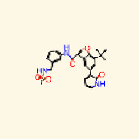 CC(C)(C)c1cc(-c2ccc[nH]c2=O)cc2c(C(=O)Nc3cccc(CNS(C)(=O)=O)c3)coc12